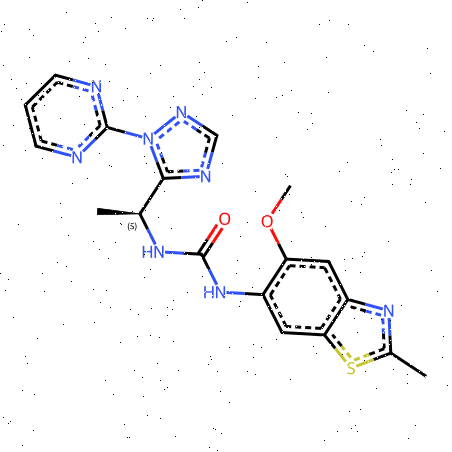 COc1cc2nc(C)sc2cc1NC(=O)N[C@@H](C)c1ncnn1-c1ncccn1